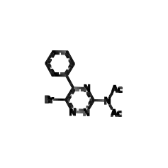 CC(=O)N(C(C)=O)c1nnc(Br)c(-c2ccccc2)n1